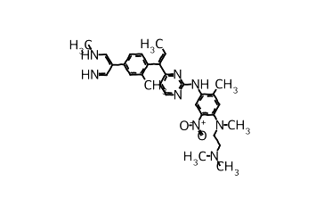 C/C=C(/c1ccnc(Nc2cc([N+](=O)[O-])c(N(C)CCN(C)C)cc2C)n1)c1ccc(/C(C=N)=C/NC)cc1C